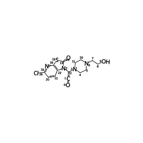 O=C=C(N1CCN(CCO)CC1)n1c(=O)sc2nc(Cl)ccc21